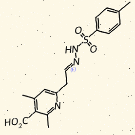 Cc1ccc(S(=O)(=O)N/N=C/Cc2cc(C)c(C(=O)O)c(C)n2)cc1